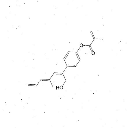 C=C/C=C(C)/C=C(\CO)c1ccc(OC(=O)C(=C)C)cc1